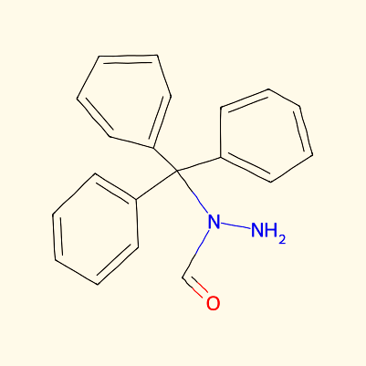 NN(C=O)C(c1ccccc1)(c1ccccc1)c1ccccc1